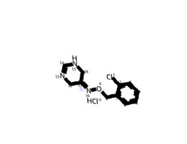 Cl.Clc1ccccc1CO/N=C1/CN=CNC1